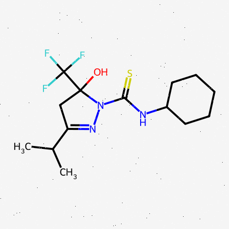 CC(C)C1=NN(C(=S)NC2CCCCC2)C(O)(C(F)(F)F)C1